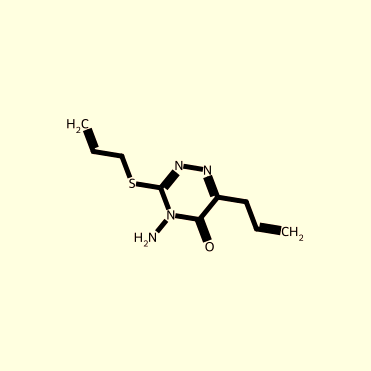 C=CCSc1nnc(CC=C)c(=O)n1N